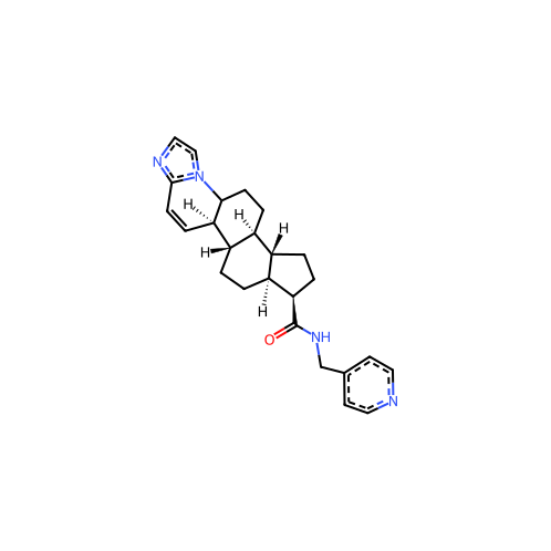 O=C(NCc1ccncc1)[C@@H]1CC[C@H]2[C@@H]3CCC4[C@H](C=Cc5nccn54)[C@H]3CC[C@@H]21